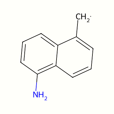 [CH2]c1cccc2c(N)cccc12